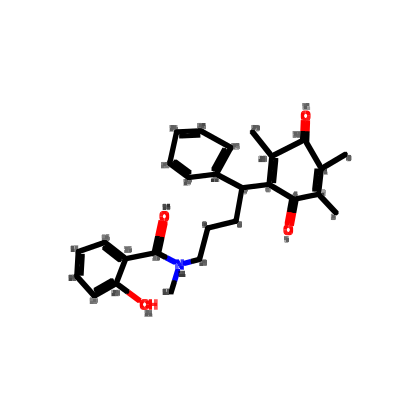 CC1=C(C)C(=O)C(C(CCCN(C)C(=O)c2ccccc2O)c2ccccc2)=C(C)C1=O